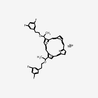 CC(OCCc1cc(F)cc(F)c1)C1=Cc2cc3[nH]c(cc4nc(cc5ccc(cc1n2)[nH]5)C=C4)cc3C(C)OCCc1cc(F)cc(F)c1.[Na].[Na]